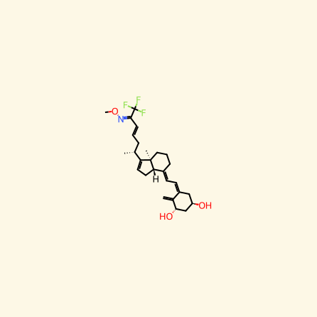 C=C1/C(=C\C=C2/CCC[C@]3(C)C([C@H](C)C/C=C/C(=NOC)C(F)(F)F)=CC[C@@H]23)C[C@@H](O)C[C@@H]1O